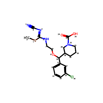 CSC(=NC#N)NCCOC(c1cccc(Cl)c1)C1CCCN(C(=O)O)C1